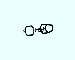 CCN1C2CCC1CC(N1CC[N]CC1)C2